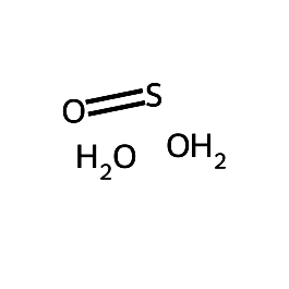 O.O.O=S